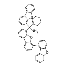 NC(C1=CCCCC1)(c1cccc2c1oc1c(-c3cccc4oc5ccccc5c34)cccc12)c1cccc2c1sc1ccccc12